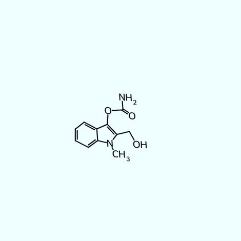 Cn1c(CO)c(OC(N)=O)c2ccccc21